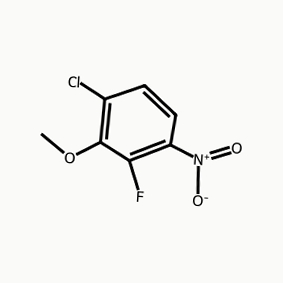 COc1c(Cl)ccc([N+](=O)[O-])c1F